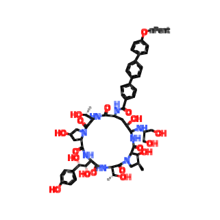 CCCCCOc1ccc(-c2ccc(-c3ccc(C(=O)NC4C[C@@H](O)C(NC(CO)CO)NC(=O)C5[C@@H](O)[C@@H](C)CN5C(=O)C([C@@H](C)O)NC(=O)C([C@H](O)[C@@H](O)c5ccc(O)cc5)NC(=O)C5C[C@@H](O)CN5C(=O)C([C@@H](C)O)NC4=O)cc3)cc2)cc1